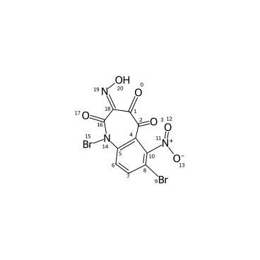 O=C1C(=O)c2c(ccc(Br)c2[N+](=O)[O-])N(Br)C(=O)C1=NO